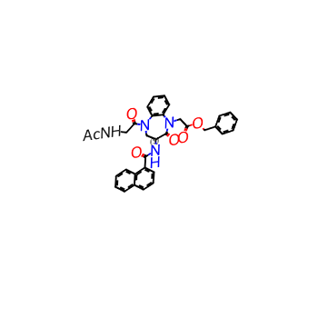 CC(=O)NCC(=O)N1C[C@H](NC(=O)c2cccc3ccccc23)C(=O)N(CC(=O)OCc2ccccc2)c2ccccc21